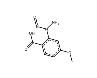 COc1ccc(C(=O)O)c(N(N)N=O)c1